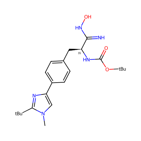 Cn1cc(-c2ccc(C[C@H](NC(=O)OC(C)(C)C)C(=N)NO)cc2)nc1C(C)(C)C